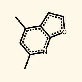 Cc1cc(C)c2ccoc2n1